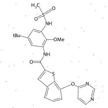 COc1c(NC(=O)c2cc3cccc(Oc4ccncn4)c3s2)cc(C(C)(C)C)cc1NS(C)(=O)=O